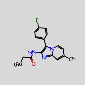 CC(C)(C)CC(=O)Nc1nc2cc(C(F)(F)F)ccn2c1-c1ccc(F)cc1